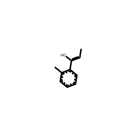 CC=C(O)c1ccccc1C